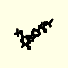 COC(=O)[C@H](Cc1ccc(OC(=O)NC(C)C)cc1)NC(=O)OC(C)(C)C